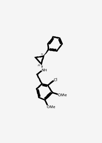 COc1ccc(CN[C@@H]2C[C@H]2c2ccccc2)c(Cl)c1OC